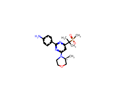 C[C@H]1COCCN1c1cc(C(C)(C)S(C)(=O)=O)nc(-c2ccc(N)cc2)n1